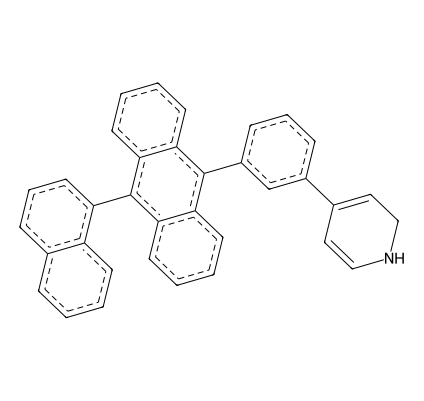 C1=CC(c2cccc(-c3c4ccccc4c(-c4cccc5ccccc45)c4ccccc34)c2)=CCN1